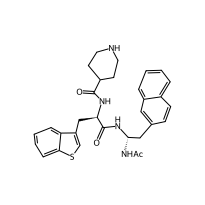 CC(=O)N[C@@H](Cc1ccc2ccccc2c1)NC(=O)[C@@H](Cc1csc2ccccc12)NC(=O)C1CCNCC1